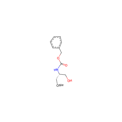 COC[C@@H](CO)NC(=O)OCc1ccccc1